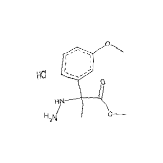 COC(=O)C(C)(NN)c1cccc(OC)c1.Cl